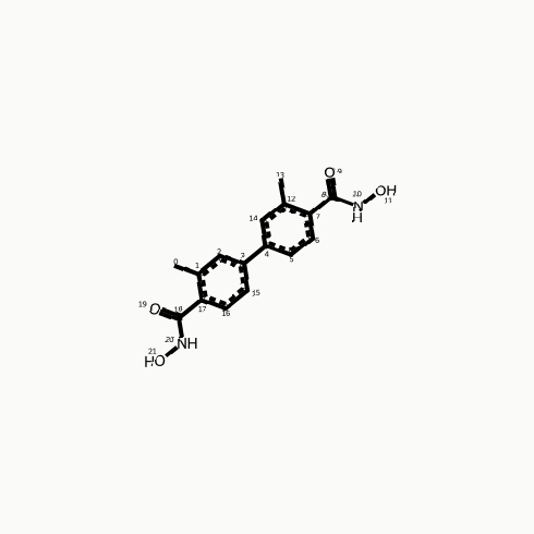 Cc1cc(-c2ccc(C(=O)NO)c(C)c2)ccc1C(=O)NO